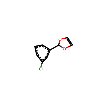 Clc1cccc(C2OC=CO2)c1